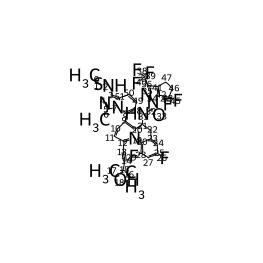 CSNc1nc(C)n2c(-c3ccc(C#CC(C)(C)O)nc3C(Cc3cc(F)cc(F)c3)NC(=O)n3nc(C(F)(F)F)c4c3C(F)(F)CC4)cccc12